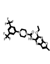 CCOc1nc2oc(C)cc2nc1NC(=O)N1CCN(c2cc(C(F)(F)F)cc(C(F)(F)F)c2)CC1